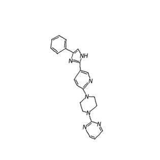 c1ccc(-c2c[nH]c(-c3ccc(N4CCN(c5ncccn5)CC4)nc3)n2)cc1